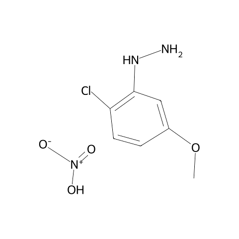 COc1ccc(Cl)c(NN)c1.O=[N+]([O-])O